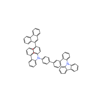 c1ccc(-c2ccccc2N(c2ccc(-c3cccc(-c4ccccc4-n4c5ccccc5c5ccccc54)c3)cc2)c2ccc(-c3cc4ccccc4c4ccccc34)cc2)cc1